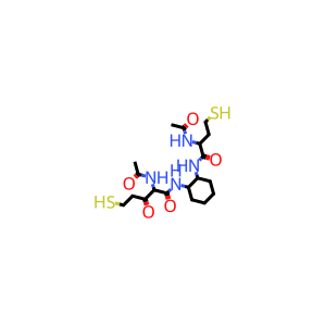 CC(=O)NC(CCS)C(=O)NC1CCCCC1NC(=O)C(NC(C)=O)C(=O)CCS